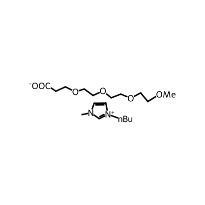 CCCC[n+]1ccn(C)c1.COCCOCCOCCOCCC(=O)[O-]